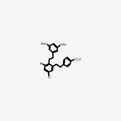 COc1cc(CCc2c(Br)cc(Cl)cc2CCc2ccc(C(=O)O)cc2)cc(OC)c1